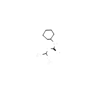 CC(C)OC(OC(=O)OC1CCCCC1)C(C)C